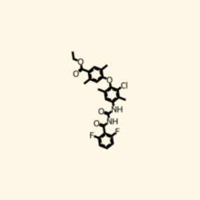 CCOC(=O)c1cc(C)c(Oc2c(C)cc(NC(=O)NC(=O)c3c(F)cccc3F)c(C)c2Cl)cc1C